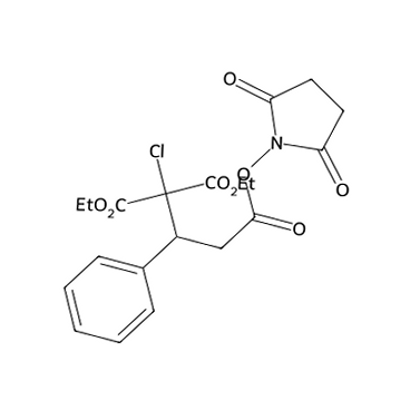 CCOC(=O)C(Cl)(C(=O)OCC)C(CC(=O)ON1C(=O)CCC1=O)c1ccccc1